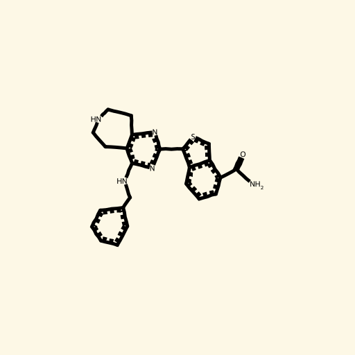 NC(=O)c1cccc2c(-c3nc4c(c(NCc5ccccc5)n3)CCNCC4)scc12